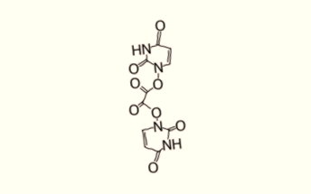 O=C(On1ccc(=O)[nH]c1=O)C(=O)On1ccc(=O)[nH]c1=O